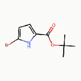 CC(C)(C)OC(=O)c1ccc(Br)[nH]1